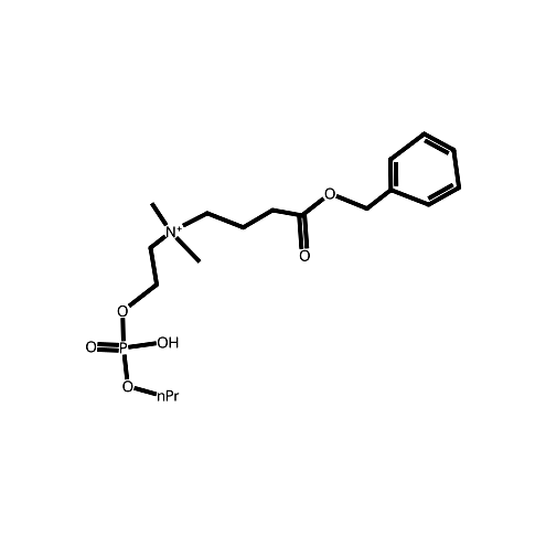 CCCOP(=O)(O)OCC[N+](C)(C)CCCC(=O)OCc1ccccc1